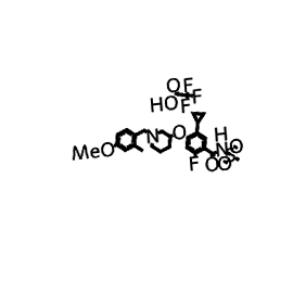 COc1ccc(CN2CCCC(Oc3cc(F)c(C(=O)NS(C)(=O)=O)cc3C3CC3)C2)c(C)c1.O=C(O)C(F)(F)F